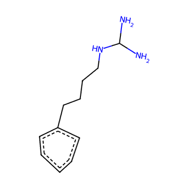 NC(N)NCCCCc1ccccc1